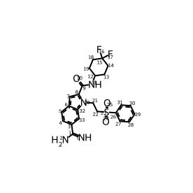 N=C(N)c1ccc2cc(C(=O)NC3CCC(F)(F)CC3)n(CCS(=O)(=O)c3ccccc3)c2c1